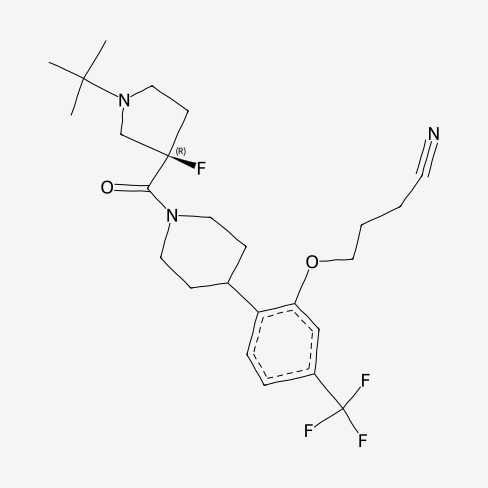 CC(C)(C)N1CC[C@](F)(C(=O)N2CCC(c3ccc(C(F)(F)F)cc3OCCCC#N)CC2)C1